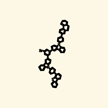 Brc1cc(-c2ccc3c(c2)c2ccccc2n3-c2ccc(-c3ccc4c(ccc5ccccc54)c3)cc2)cc(-c2ccc3c(c2)c2ccccc2n3-c2ccc(-c3cccc4c3sc3ccccc34)cc2)c1